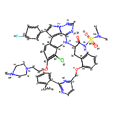 COc1ccccc1-c1nccc(COc2ccccc2CC(Nc2ncnn3cc(-c4ccc(F)cc4)c(-c4ccc(OCCN5CCN(C)CC5)c(Cl)c4C)c23)C(=O)NS(=O)(=O)N(C)C)n1